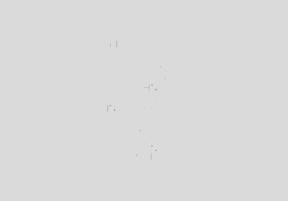 CCCc1ccc(C(=O)Nc2cccc(S(=O)(=O)Nc3cccc(C4CCC(=O)NC4=O)c3)c2)cc1